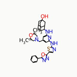 C[C@@H]1CN(Cc2cc(Nc3ncc(-c4nnc(-c5ccccc5)o4)s3)nc(NC3C4CC5CC3CC(O)(C5)C4)c2)C[C@H](C)O1